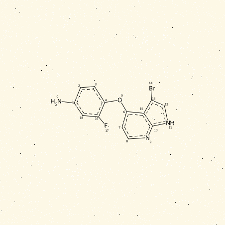 Nc1ccc(Oc2ccnc3[nH]cc(Br)c23)c(F)c1